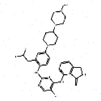 C=C1NCc2cccc(Nc3nc(Nc4ccc(N5CCC(N6CCN(C(C)(C)C)CC6)CC5)cc4CC(F)F)ncc3C(F)(F)F)c21